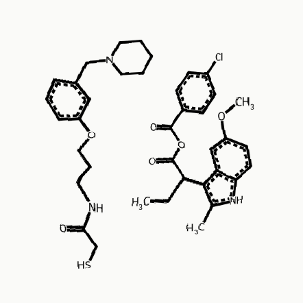 CCC(C(=O)OC(=O)c1ccc(Cl)cc1)c1c(C)[nH]c2ccc(OC)cc12.O=C(CS)NCCCOc1cccc(CN2CCCCC2)c1